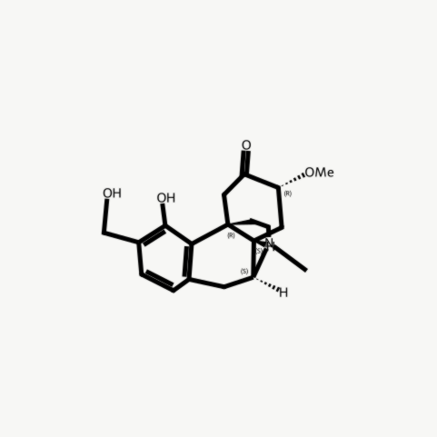 CO[C@@H]1C[C@@H]2[C@@H]3Cc4ccc(CO)c(O)c4[C@]2(CCN3C)CC1=O